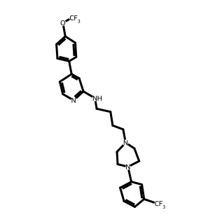 FC(F)(F)Oc1ccc(-c2ccnc(NCCCCN3CCN(c4cccc(C(F)(F)F)c4)CC3)c2)cc1